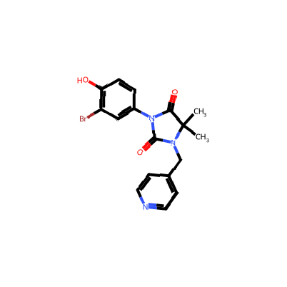 CC1(C)C(=O)N(c2ccc(O)c(Br)c2)C(=O)N1Cc1ccncc1